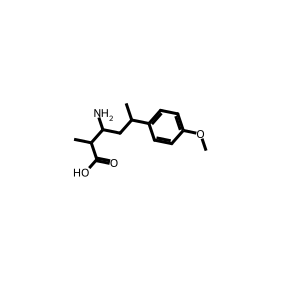 COc1ccc(C(C)CC(N)C(C)C(=O)O)cc1